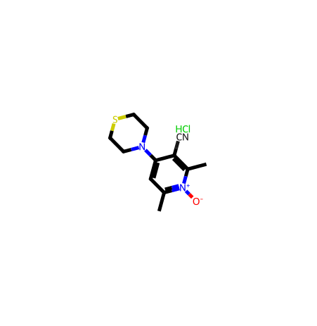 Cc1cc(N2CCSCC2)c(C#N)c(C)[n+]1[O-].Cl